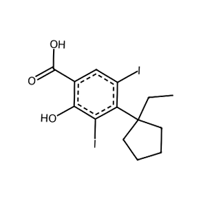 CCC1(c2c(I)cc(C(=O)O)c(O)c2I)CCCC1